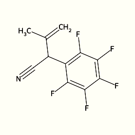 C=C(C)C(C#N)c1c(F)c(F)c(F)c(F)c1F